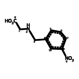 O=C(O)CNCc1cccc([N+](=O)[O-])c1